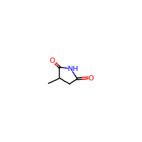 CC1CC(=O)NC1=O